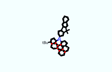 CC(C)(C)c1ccc(N(c2ccc3c(c2)C(C)(C)c2cc4ccccc4cc2-3)c2ccc3ccccc3c2-c2ccccc2-c2ccccc2)c(-c2ccccc2)c1